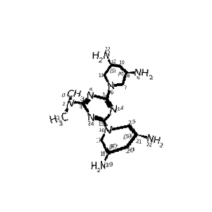 CN(C)c1nc(N2C[C@H](N)C[C@H](N)C2)nc(N2C[C@H](N)C[C@H](N)C2)n1